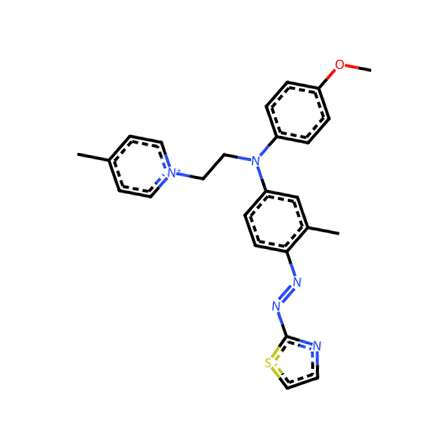 COc1ccc(N(CC[n+]2ccc(C)cc2)c2ccc(N=Nc3nccs3)c(C)c2)cc1